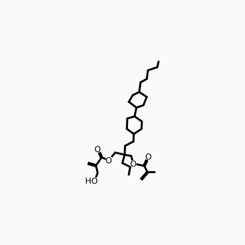 C=C(C)C(=O)OCC(CCC)(CCC1CCC(C2CCC(CCCCC)CC2)CC1)COC(=O)C(=C)CO